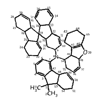 CC1(C)c2cccc(N(C3C=CC4C5C=CC=CC5C5(C6=CCCCC6C6CCC=CC65)C4C3)C3CC=CC4OC5=C(CCCC5)C43)c2C2C=CCCC21